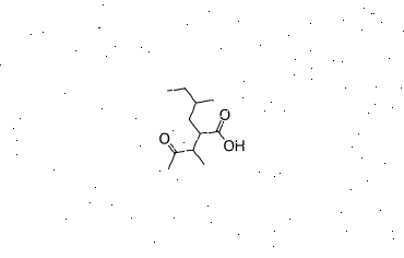 CCC(C)CC(C(=O)O)C(C)C(C)=O